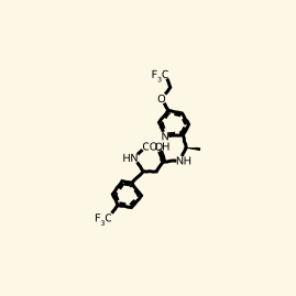 C[C@@H](NC(=O)CC(NC(=O)O)c1ccc(C(F)(F)F)cc1)c1ccc(OCC(F)(F)F)cn1